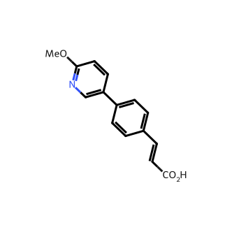 COc1ccc(-c2ccc(C=CC(=O)O)cc2)cn1